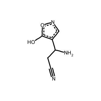 N#CCC(N)c1cnoc1O